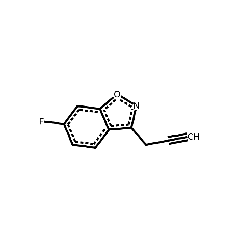 C#CCc1noc2cc(F)ccc12